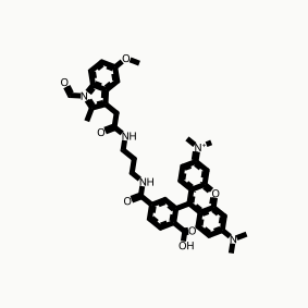 COc1ccc2c(c1)c(CC(=O)NCCCNC(=O)c1ccc(C(=O)O)c(-c3c4ccc(=[N+](C)C)cc-4oc4cc(N(C)C)ccc34)c1)c(C)n2C=O